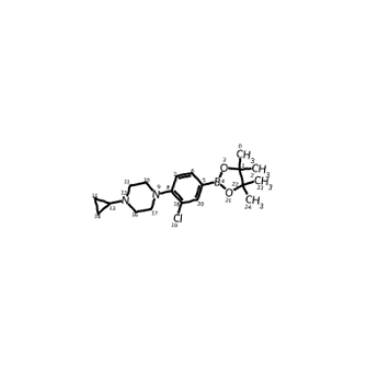 CC1(C)OB(c2ccc(N3CCN(C4CC4)CC3)c(Cl)c2)OC1(C)C